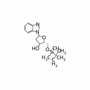 CC(C)(C)[Si](C)(C)OC[C@H]1O[C@H](n2cnc3ccccc32)C[C@@H]1O